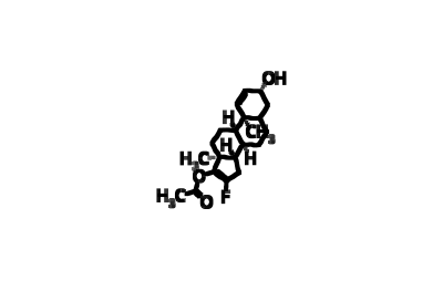 CC(=O)OC1=C(F)C[C@H]2[C@@H]3CCC4C[C@@H](O)C=C[C@]4(C)[C@H]3CC[C@]12C